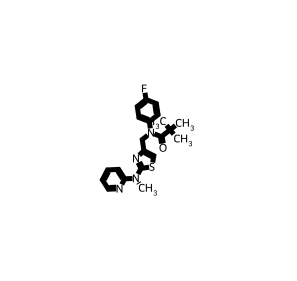 CN(c1ccccn1)c1nc(CN(C(=O)C(C)(C)C)c2ccc(F)cc2)cs1